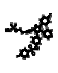 Cc1ccc(S(=O)(=O)Nc2ccc(-c3c(C#CCCO[Si](C)(C)C(C)(C)C)sc(-c4ccc(F)cc4)c3-c3ccncc3)cc2)cc1